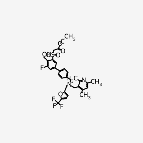 CCOC(=O)CS(=O)(=O)c1cc(-c2ccc(CN(Cc3ccc(C(F)(F)F)o3)Cc3c(C)cc(C)nc3C)cc2)cc(F)c1CO